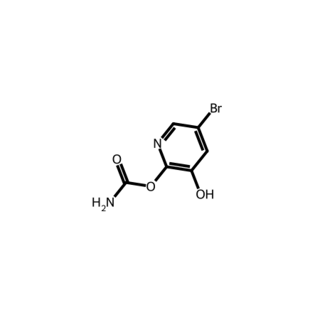 NC(=O)Oc1ncc(Br)cc1O